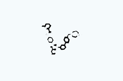 Cc1cccc(C(=O)N[C@H]2CC[C@@H](n3c(=O)c4cc(F)cnc4n(-c4cccc(-c5ccc(CN6CCCNCC6)cc5)c4)c3=O)CC2)n1